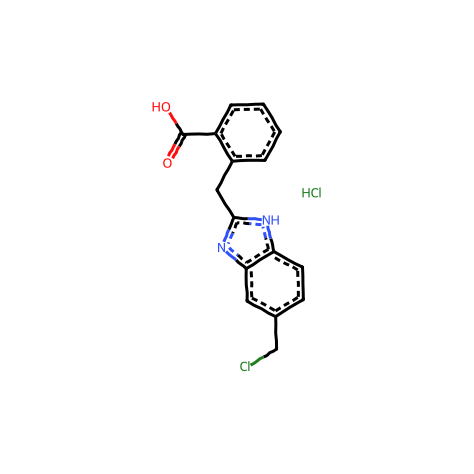 Cl.O=C(O)c1ccccc1Cc1nc2cc(CCl)ccc2[nH]1